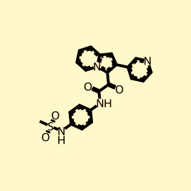 CS(=O)(=O)Nc1ccc(NC(=O)C(=O)c2c(-c3cccnc3)cc3ccccn23)cc1